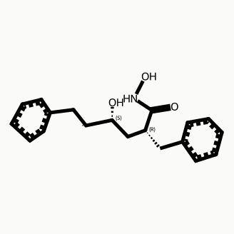 O=C(NO)[C@H](Cc1ccccc1)C[C@@H](O)[CH]Cc1ccccc1